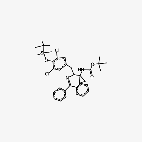 CC(C)(C)OC(=O)NC1(C(Cc2cc(Cl)c(O[Si](C)(C)C(C)(C)C)c(Cl)c2)N=C(c2ccccc2)c2ccccc2)CC1